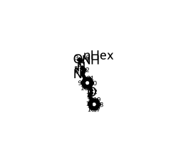 CCCCCCNC(=O)n1cnc(-c2ccc(OCc3ccccc3)cc2)c1